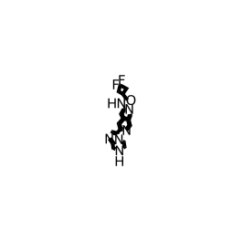 O=C(Nc1cc2cc(-c3cnc4n3CCNC4)ncc2cn1)C1CC(F)(F)C1